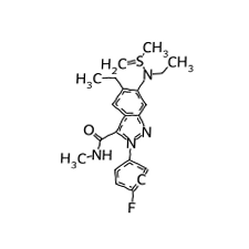 C=S(C)N(CC)c1cc2nn(-c3ccc(F)cc3)c(C(=O)NC)c2cc1CC